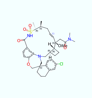 CO[C@]1(CC(=O)N(C)C)/C=C/C[C@H](C)[C@@H](C)S(=O)(=O)NC(=O)c2ccc3c(c2)N(C[C@@H]2CC[C@H]21)C[C@@]1(CCCc2cc(Cl)ccc21)CO3